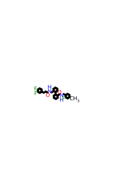 Cc1ccc(CNC(=O)c2ccccc2-c2ccccc2CNC(=O)CCc2ccc(F)c(F)c2)c(F)c1